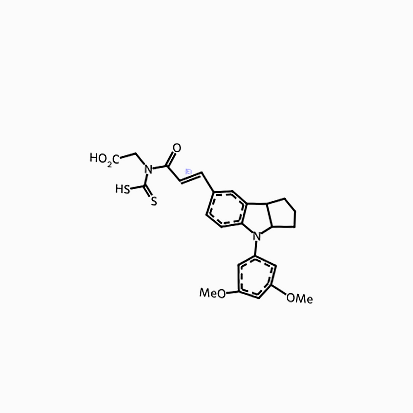 COc1cc(OC)cc(N2c3ccc(/C=C/C(=O)N(CC(=O)O)C(=S)S)cc3C3CCCC32)c1